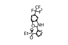 CCS(=O)(=O)c1ccsc1C1Nc2cc(C(F)(F)C(F)(F)F)ccc2O1